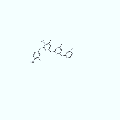 Cc1cccc(Cc2cc(C)cc(Cc3cc(C)c(O)c(Cc4ccc(O)c(C)c4)c3)c2)c1